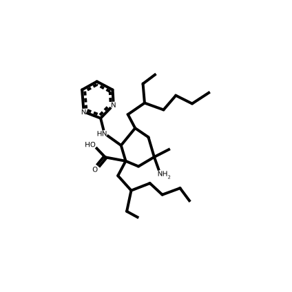 CCCCC(CC)CC1CC(C)(N)CC(CC(CC)CCCC)(C(=O)O)C1Nc1ncccn1